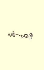 NS(=O)(=O)CCCCCOc1ccc(-c2ccn[nH]2)nc1